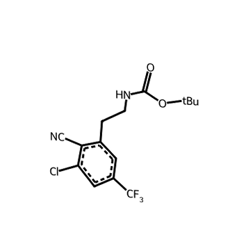 CC(C)(C)OC(=O)NCCc1cc(C(F)(F)F)cc(Cl)c1C#N